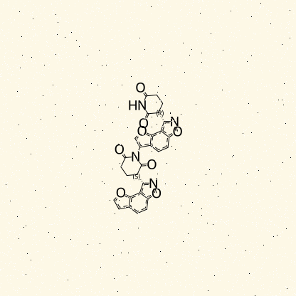 O=C1CC[C@H](c2noc3ccc4c(N5C(=O)CC[C@@H](c6noc7ccc8ccoc8c67)C5=O)coc4c23)C(=O)N1